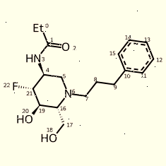 CCC(=O)N[C@H]1CN(CCCc2ccccc2)[C@H](CO)[C@@H](O)[C@@H]1F